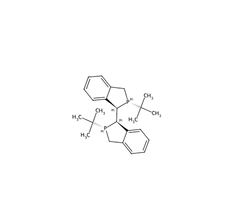 CC(C)(C)[P@@]1Cc2ccccc2[C@@H]1[C@H]1c2ccccc2C[P@]1C(C)(C)C